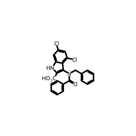 O=C(O)c1[nH]c2cc(Cl)cc(Cl)c2c1N(Cc1ccccc1)C(=O)c1ccccc1